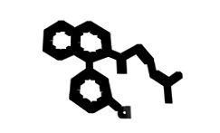 C=C(/C=C\C=C(C)C)c1ccc2ccccc2c1-c1cccc(Cl)c1